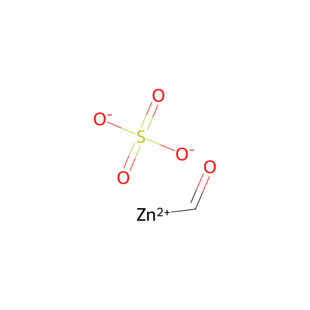 O=S(=O)([O-])[O-].O=[CH][Zn+2]